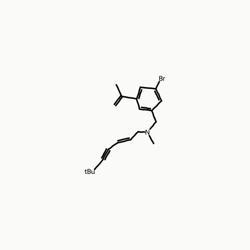 C=C(C)c1cc(Br)cc(CN(C)C/C=C/C#CC(C)(C)C)c1